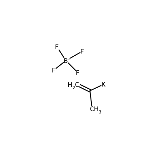 C=[C](C)[K].F[B-](F)(F)F